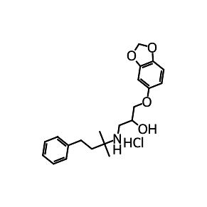 CC(C)(CCc1ccccc1)NCC(O)COc1ccc2c(c1)OCO2.Cl